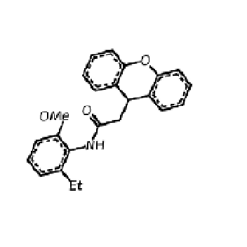 CCc1cccc(OC)c1NC(=O)CC1c2ccccc2Oc2ccccc21